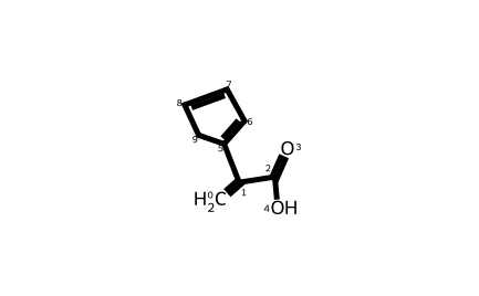 C=C(C(=O)O)C1=CC=CC1